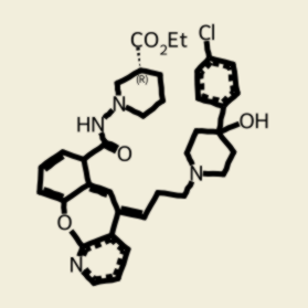 CCOC(=O)[C@@H]1CCCN(NC(=O)C2C=CC=C3Oc4ncccc4C(=CCCN4CCC(O)(c5ccc(Cl)cc5)CC4)C=C32)C1